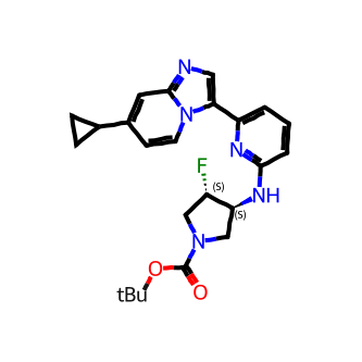 CC(C)(C)OC(=O)N1C[C@H](Nc2cccc(-c3cnc4cc(C5CC5)ccn34)n2)[C@@H](F)C1